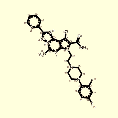 NC(=O)c1c(Cl)c2c(nc(N)n3nc(-c4ccccn4)nc23)n1CCN1CCN(c2ccc(F)cc2F)CC1